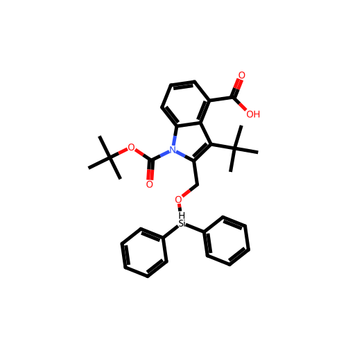 CC(C)(C)OC(=O)n1c(CO[SiH](c2ccccc2)c2ccccc2)c(C(C)(C)C)c2c(C(=O)O)cccc21